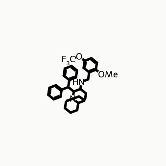 COc1ccc(OC(F)(F)F)cc1CNC1CC2CC3CCCC2N3C1C(c1ccccc1)c1ccccc1